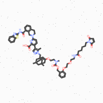 Cc1c(-c2ccc(N3CCc4cccc(C(=O)Nc5nc6ccccc6s5)c4C3)nc2C(=O)O)cnn1CC12CC3(C)CC(C)(C1)CC(OCCN(C)C(=O)OCc1cc[c]cc1OCCOCCNC(=O)CCCCCN1C(=O)C=CC1=O)(C3)C2